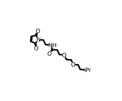 CC(C)CCOCCOCCC(=O)NCCN1C(=O)C=CC1=O